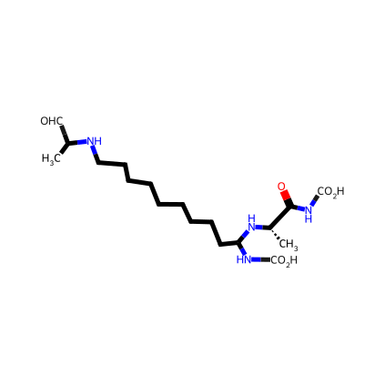 CC(C=O)NCCCCCCCCCC(NC(=O)O)N[C@@H](C)C(=O)NC(=O)O